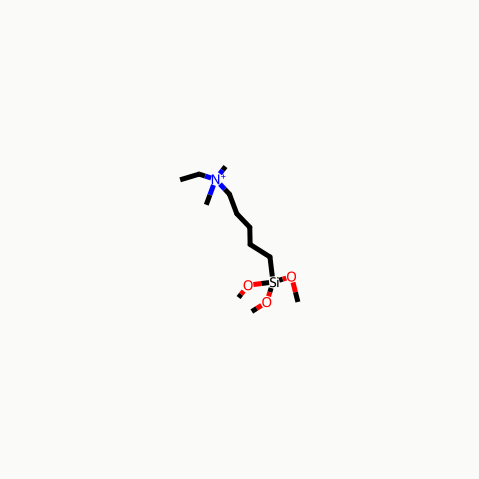 CC[N+](C)(C)CCCCC[Si](OC)(OC)OC